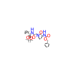 CC(C)C(NC(=O)Cn1cccc(NC(=O)OCc2ccccc2)c1=O)B1OC(C)(C)C(C)(C)O1